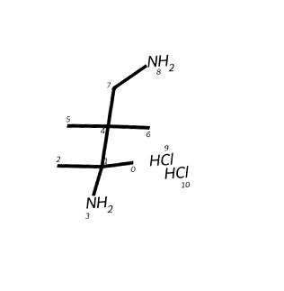 CC(C)(N)C(C)(C)CN.Cl.Cl